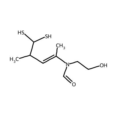 CC(=CC(C)C(S)S)N(C=O)CCO